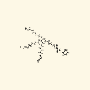 CCCCCCCCCC(CCCCCCCCNC(=O)OCc1ccccc1)C(CCCCCCCCC)CCCCCCCCOC#N